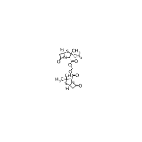 CC1(C)S[C@@H]2CC(=O)N2[C@H]1C(=O)OCOC(=O)[C@@H]1N2C(=O)C[C@H]2SC1(C)C